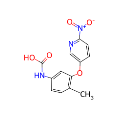 Cc1ccc(NC(=O)O)cc1Oc1ccc([N+](=O)[O-])nc1